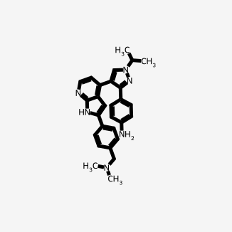 CC(C)n1cc(-c2ccnc3[nH]c(-c4ccc(CN(C)C)cc4)cc23)c(-c2ccc(N)cc2)n1